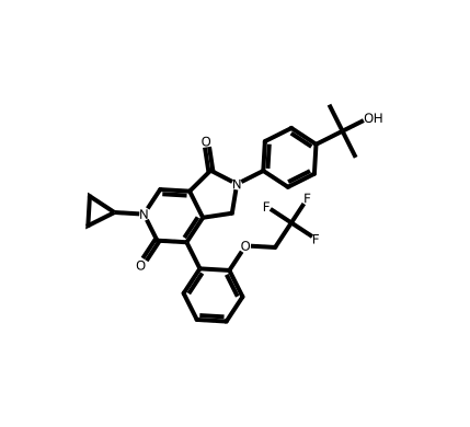 CC(C)(O)c1ccc(N2Cc3c(cn(C4CC4)c(=O)c3-c3ccccc3OCC(F)(F)F)C2=O)cc1